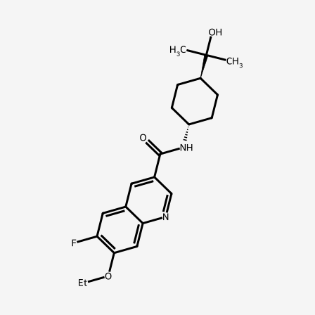 CCOc1cc2ncc(C(=O)N[C@H]3CC[C@H](C(C)(C)O)CC3)cc2cc1F